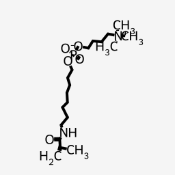 C=C(C)C(=O)NCCCCCCCCOP(=O)([O-])OCCCC[N+](C)(C)C